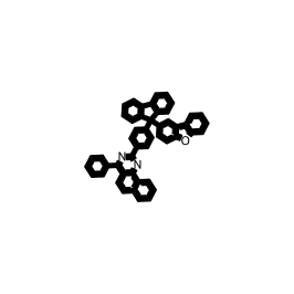 c1ccc(-c2nc(-c3ccc(C4(c5ccc6oc7ccccc7c6c5)c5ccccc5-c5ccccc54)cc3)nc3c2ccc2ccccc23)cc1